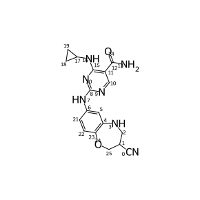 N#CC1CNc2cc(Nc3ncc(C(N)=O)c(NC4CC4)n3)ccc2OC1